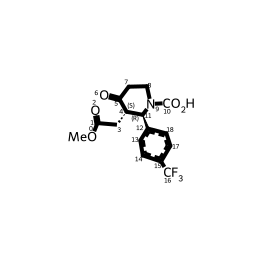 COC(=O)C[C@@H]1C(=O)CCN(C(=O)O)[C@H]1c1ccc(C(F)(F)F)cc1